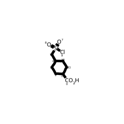 O=C(O)C1CCC(CS(=O)(=O)Cl)CC1